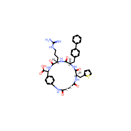 N=C(N)NCCC[C@@H]1NC(=O)[C@H](Cc2ccc(-c3ccccc3)cc2)NC(=O)[C@@H](Cc2cccs2)NC(=O)CCC(=O)Nc2ccc(cc2)C(C(=O)O)NC1=O